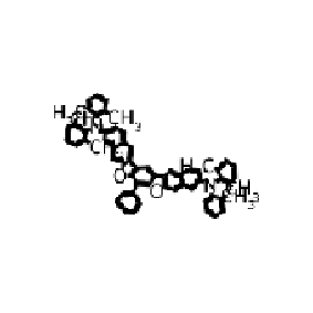 Cc1ccccc1N(c1ccc2cc3c(cc2c1)oc1c(-c2ccccc2)c2oc4cc5cc(N(c6c(C)cccc6C)c6c(C)cccc6C)ccc5cc4c2cc13)c1c(C)cccc1C